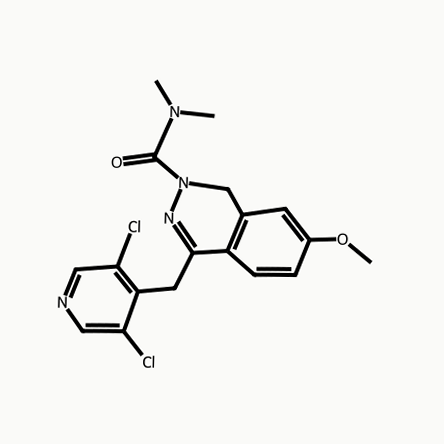 COc1ccc2c(c1)CN(C(=O)N(C)C)N=C2Cc1c(Cl)cncc1Cl